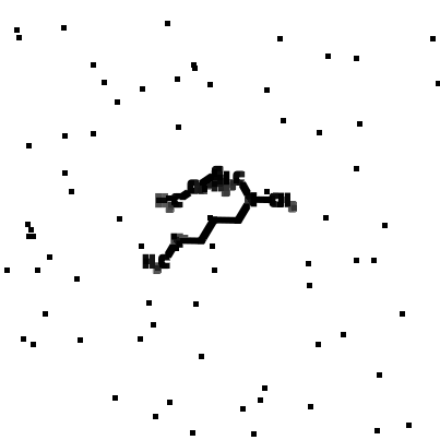 C[N-]CCCN(C)C.[CH3][Ga+][CH3]